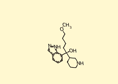 COCCCC[C@@](O)(c1cccc2cn[nH]c12)[C@@H]1CCCNC1